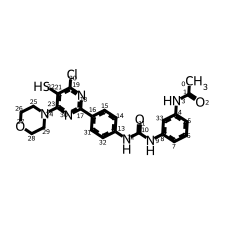 CC(=O)Nc1cccc(NC(=O)Nc2ccc(-c3nc(Cl)c(S)c(N4CCOCC4)n3)cc2)c1